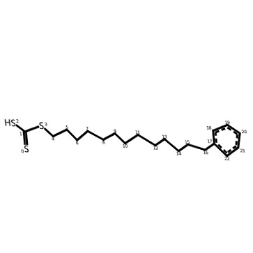 S=C(S)SCCCCCCCCCCCCCc1ccccc1